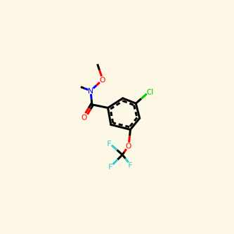 CON(C)C(=O)c1cc(Cl)cc(OC(F)(F)F)c1